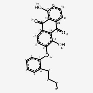 CCCCc1ccccc1Oc1ccc2c(c1O)C(=O)c1cccc(O)c1C2=O